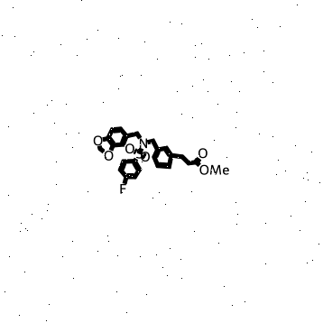 COC(=O)CCc1cccc(CN(Cc2ccc3c(c2)OCO3)S(=O)(=O)c2ccc(F)cc2)c1